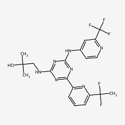 CC(C)(O)CNc1nc(Nc2ccnc(C(F)(F)F)c2)nc(-c2cccc(C(C)(F)F)n2)n1